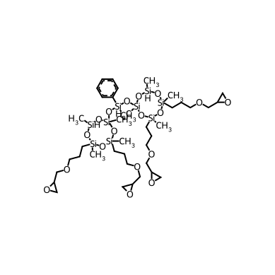 C[SiH]1O[Si](C)(CCCOCC2CO2)O[Si](C)(CCCOCC2CO2)O[Si](C)(O[Si](C)(O[Si]2(C)O[SiH](C)O[Si](C)(CCCOCC3CO3)O[Si](C)(CCCOCC3CO3)O2)c2ccccc2)O1